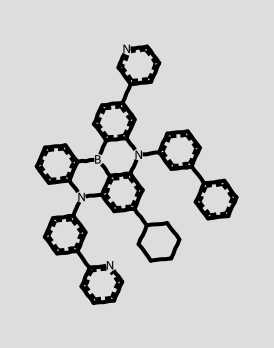 c1ccc(-c2cccc(N3c4cc(-c5cccnc5)ccc4B4c5ccccc5N(c5cccc(-c6ccccn6)c5)c5cc(C6CCCCC6)cc3c54)c2)cc1